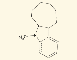 CN1c2ccccc2C2CCCCCCC21